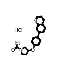 CCC(=O)N1CCC(Oc2ccc(-c3ccc4cccnc4c3)cc2)C1.Cl